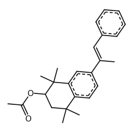 CC(=O)OC1CC(C)(C)c2ccc(C(C)=Cc3ccccc3)cc2C1(C)C